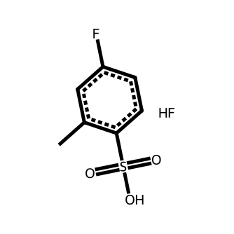 Cc1cc(F)ccc1S(=O)(=O)O.F